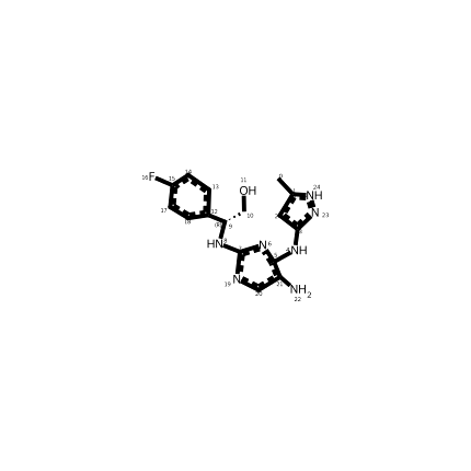 Cc1cc(Nc2nc(N[C@@H](CO)c3ccc(F)cc3)ncc2N)n[nH]1